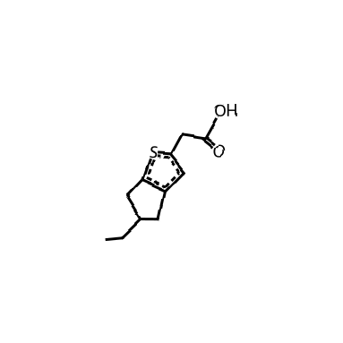 CCC1Cc2cc(CC(=O)O)sc2C1